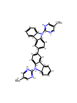 CC(C)(C)c1cnc(-n2c3ccccc3c3cc(-c4ccc5c(c4)c4ccccc4n5-c4ncc(C(C)(C)C)cn4)ccc32)nc1